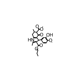 CCCOC(=O)C1=C(C)NC2=C(C(=O)C(C(=O)OC)C(C)C2)C1c1ccc(OC)c(O)c1